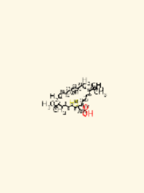 CC(C)CCCCCCC(S)(CCCCCCC(C)C)CC(=O)O.CCC[CH2][Sn][CH2]CCC